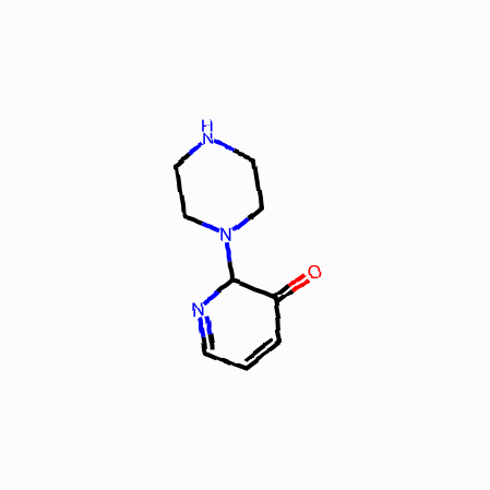 O=C1C=CC=NC1N1CCNCC1